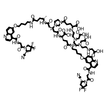 C[C@@H](CCC(=O)NCCCCOc1ccc2nccc(C(=O)NCC(=O)N3CC(F)(F)C[C@H]3C#N)c2c1)NC(=O)C[C@H](CC(=O)N[C@H](CCC(=O)NCCCCOc1ccc2nccc(C(=O)NCC(=O)N3CC(F)(F)C[C@@H]3C#N)c2c1)C(=O)O)N1CCN(C(=O)CCC(NCCN(CCN(CCNCC(=O)O)CC(=O)O)CC(=O)O)C(=O)O)C1